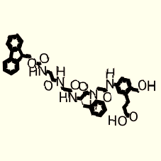 O=C(O)CCc1cc(NC(=O)CNC(=O)[C@H](Cc2ccccc2)NC(=O)CNC(=O)CNC(=O)OCC2c3ccccc3-c3ccccc32)ccc1CO